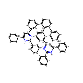 N#Cc1ccc(-c2cccc(-c3cccc(-c4cc(-c5ccccc5)nc(-c5ccccc5)n4)c3)c2-c2cccc(-c3cc(-c4ccccc4)nc(-c4ccccc4)n3)c2)cc1